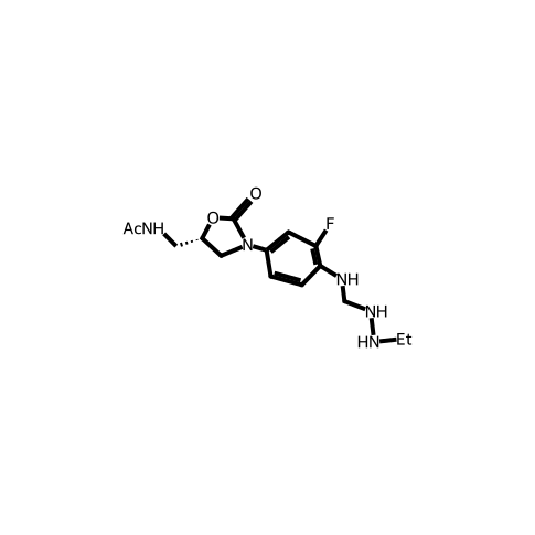 CCNNCNc1ccc(N2C[C@H](CNC(C)=O)OC2=O)cc1F